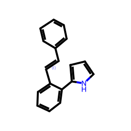 C(=C\c1ccccc1-c1ccc[nH]1)/c1ccccc1